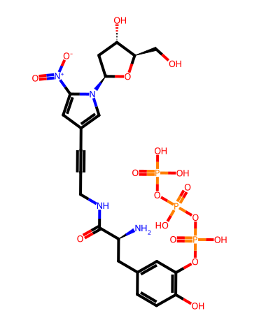 N[C@@H](Cc1ccc(O)c(OP(=O)(O)OP(=O)(O)OP(=O)(O)O)c1)C(=O)NCC#Cc1cc([N+](=O)[O-])n([C@H]2C[C@H](O)[C@@H](CO)O2)c1